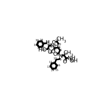 CC(C)C[C@H](CC(=O)N(CCc1ccccc1)[C@H](C)C(=O)NO)C(=O)N[C@@H](Cc1ccccc1)C(=O)O